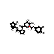 CC(CC(NC(=O)C(=O)Cc1ccc(O)c(O)c1)C(=O)N1CCCC1C(=O)OC1CC2CCC1(C)C2(C)C)C(N)=O